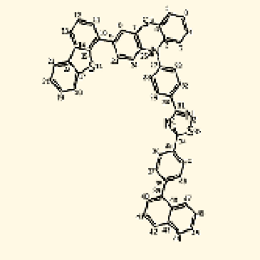 c1ccc2c(c1)Sc1cc(-c3cccc4c3sc3ccccc34)ccc1N2c1ccc(-c2nsc(-c3ccc(-c4cccc5ccccc45)cc3)n2)cc1